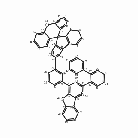 C1=CC2=C(CC1)C1(c3ccccc3Oc3ccccc31)c1ccc(-c3cccc(-c4nc(-c5ccccc5-c5ccccc5)nc5c4sc4ccccc45)c3)cc12